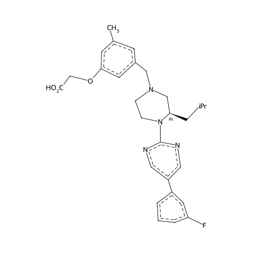 Cc1cc(CN2CCN(c3ncc(-c4cccc(F)c4)cn3)[C@H](CC(C)C)C2)cc(OCC(=O)O)c1